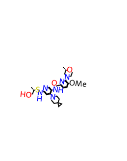 COc1ccc(C(=O)Nc2cnc(NS[C@H](C)CO)cc2N2CCC3(CC2)CC3)nc1N1CCO[C@H](C)C1